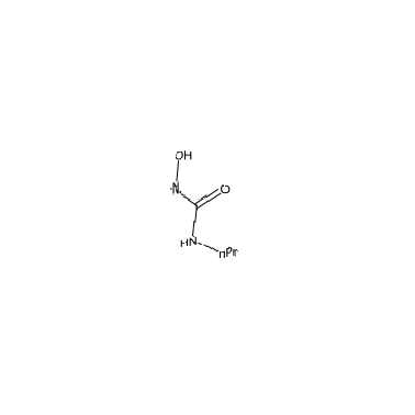 CCCNC(=O)[N]O